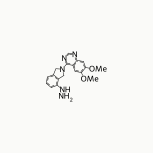 COc1cc2ncnc(N3Cc4cccc(NN)c4C3)c2cc1OC